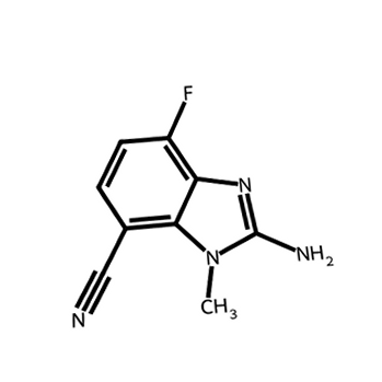 Cn1c(N)nc2c(F)ccc(C#N)c21